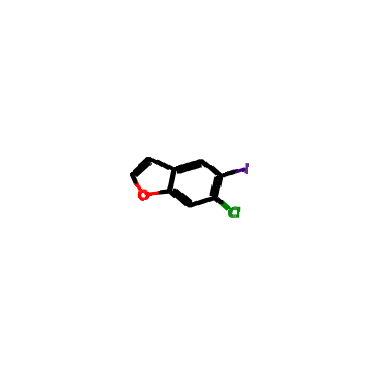 Clc1cc2occc2cc1I